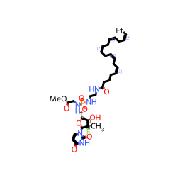 CC/C=C\C/C=C\C/C=C\C/C=C\C/C=C\CCCC(=O)NCCNP(=O)(NCC(=O)OC)OC[C@H]1OC(n2ccc(=O)[nH]c2=O)[C@](C)(F)[C@@H]1O